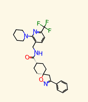 O=C(NCc1ccc(C(F)(F)F)nc1N1CCCCC1)[C@H]1CC[C@]2(CC1)CC(c1ccccc1)=NO2